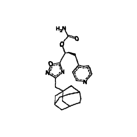 NC(=O)O[C@@H](Cc1ccncc1)c1nc(CC23CC4CC(CC(C4)C2)C3)no1